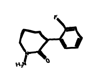 NN1CCCC(c2ccccc2F)C1=O